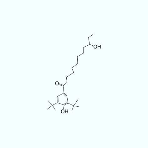 CCC(O)CCCCCCCCC(=O)c1cc(C(C)(C)C)c(O)c(C(C)(C)C)c1